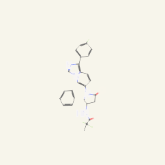 CC(F)(F)C(=O)NC1CC(=O)N(c2ccc3c(-c4ccc(F)cc4)ncn3c2)[C@H]1c1ccccc1